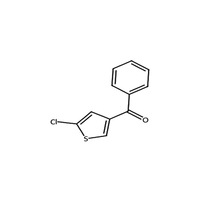 O=C(c1ccccc1)c1csc(Cl)c1